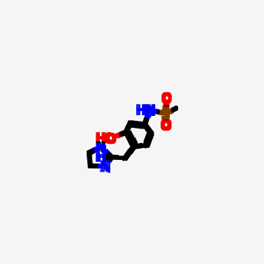 CS(=O)(=O)Nc1ccc(CC2=NCCN2)c(O)c1